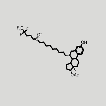 CC(=O)O[C@H]1CCC2C3C(CC[C@@]21C)c1ccc(O)cc1C[C@H]3CCCCCCCCC[S+]([O-])CCCC(F)(F)C(F)(F)F